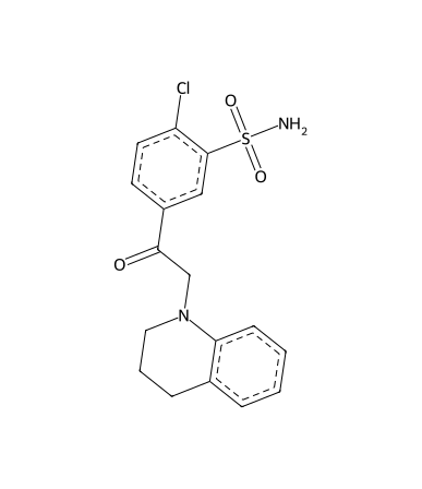 NS(=O)(=O)c1cc(C(=O)CN2CCCc3ccccc32)ccc1Cl